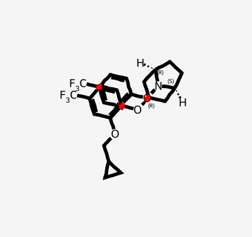 FC(F)(F)c1ccc(ON2[C@@H]3CC[C@H]2C[C@@H](Oc2ccc(C(F)(F)F)cc2OCC2CC2)C3)nc1